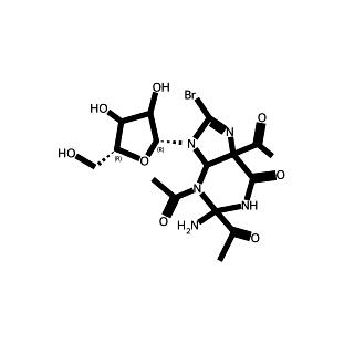 CC(=O)N1C2N([C@@H]3O[C@H](CO)C(O)C3O)C(Br)=NC2(C(C)=O)C(=O)NC1(N)C(C)=O